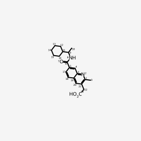 Cc1nc2cc(C(=O)NC(C)C3CCCCC3)ccc2cc1CC(=O)O